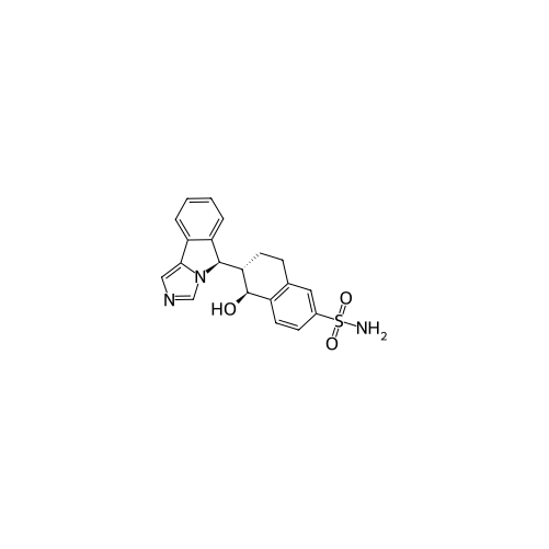 NS(=O)(=O)c1ccc2c(c1)CC[C@@H]([C@@H]1c3ccccc3-c3cncn31)[C@@H]2O